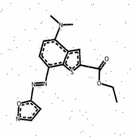 CCOC(=O)c1cc2c(N(C)C)ccc(/N=N/c3ccno3)c2s1